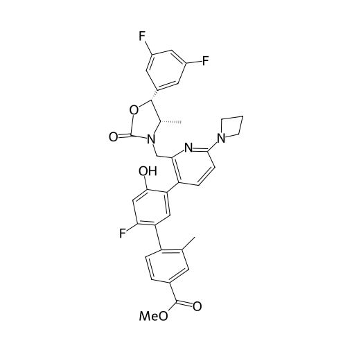 COC(=O)c1ccc(-c2cc(-c3ccc(N4CCC4)nc3CN3C(=O)O[C@H](c4cc(F)cc(F)c4)[C@@H]3C)c(O)cc2F)c(C)c1